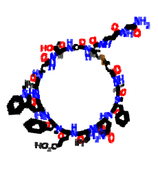 CC(C)C[C@@H]1NC(=O)[C@H](CC(N)=O)NC(=O)[C@H](Cc2ccccc2)N(C)C(=O)[C@@H](C)NC(=O)CSC[C@@H](C(=O)NCCC(=O)NCC(N)=O)NC(=O)CNC(=O)[C@H]([C@@H](C)O)NC(=O)CNC(=O)C(C(C)C)NC(=O)[C@H](Cc2cn(C)c3ccccc23)NC(=O)[C@H](Cc2ccccc2)N(C)C(=O)[C@H](CCCC(=O)O)NC1=O